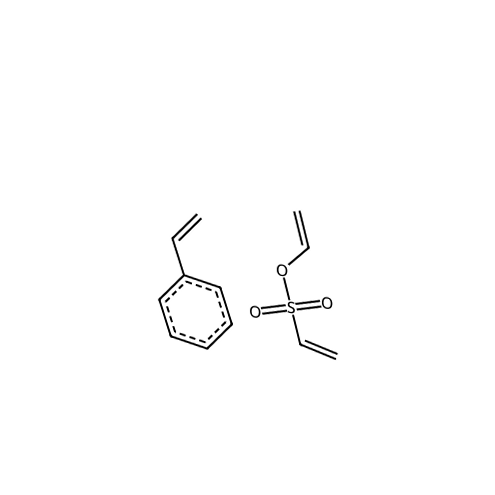 C=COS(=O)(=O)C=C.C=Cc1ccccc1